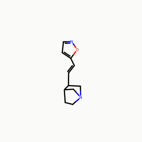 C(=C\C1CN2CCC1C2)/c1ccno1